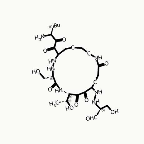 CC[C@H](C)C(N)C(=O)C(=O)C1CCCCNC(=O)CCC(NN[C@H](C=O)CO)C(=O)C(=O)[C@H]([C@@H](C)O)NC(=O)[C@H](CO)NN1